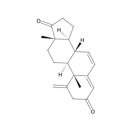 C=C1CC(=O)C=C2C=C[C@@H]3[C@H](CC[C@]4(C)C(=O)CC[C@@H]34)[C@@]12C